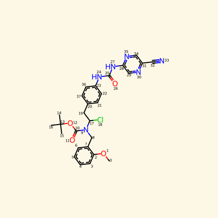 COc1ccccc1CN(C(=O)OC(C)(C)C)C(Cl)Cc1ccc(NC(=O)Nc2cnc(C#N)cn2)cc1